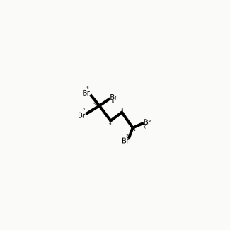 BrC(Br)C[CH]C(Br)(Br)Br